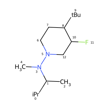 CC(C)C(C)N(C)N1CCC(C(C)(C)C)C(F)C1